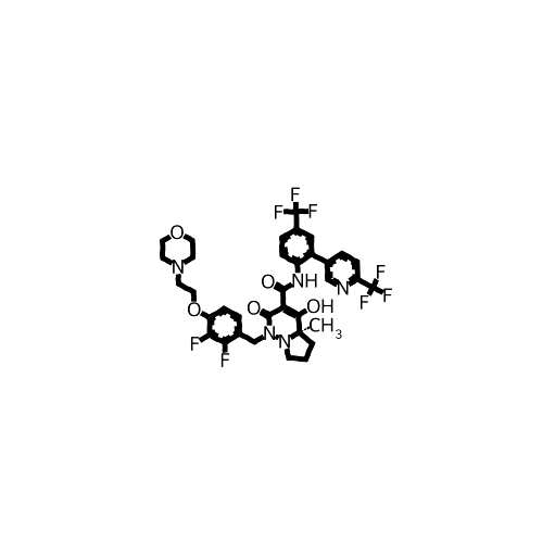 C[C@]12CCCN1N(Cc1ccc(OCCN3CCOCC3)c(F)c1F)C(=O)C(C(=O)Nc1ccc(C(F)(F)F)cc1-c1ccc(C(F)(F)F)nc1)=C2O